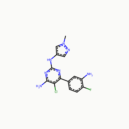 Cn1cc(Nc2nc(N)c(Cl)c(-c3ccc(F)c(N)c3)n2)cn1